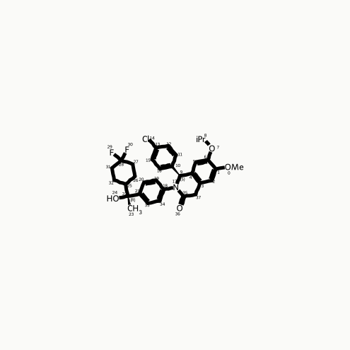 COc1cc2c(cc1OC(C)C)[C@H](c1ccc(Cl)cc1)N(c1ccc([C@](C)(O)C3CCC(F)(F)CC3)cc1)C(=O)C2